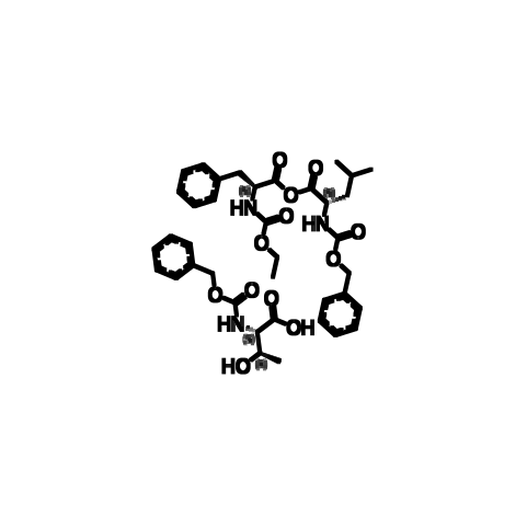 CCOC(=O)N[C@@H](Cc1ccccc1)C(=O)OC(=O)[C@H](CC(C)C)NC(=O)OCc1ccccc1.C[C@@H](O)[C@H](NC(=O)OCc1ccccc1)C(=O)O